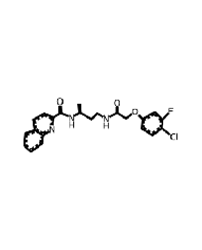 C=C(CCNC(=O)COc1ccc(Cl)c(F)c1)NC(=O)c1ccc2ccccc2n1